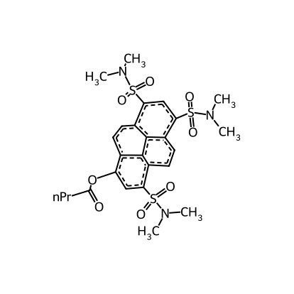 CCCC(=O)Oc1cc(S(=O)(=O)N(C)C)c2ccc3c(S(=O)(=O)N(C)C)cc(S(=O)(=O)N(C)C)c4ccc1c2c43